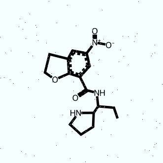 CCC(NC(=O)c1cc([N+](=O)[O-])cc2c1OCC2)C1CCCN1